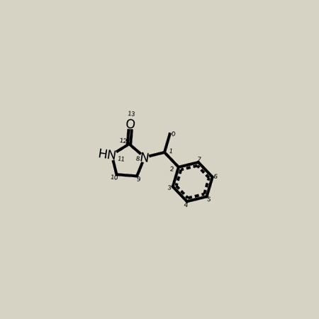 CC(c1ccccc1)N1CCNC1=O